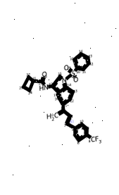 C=C(/C=C/c1ccc(C(F)(F)F)cc1)c1ccc2c(c1)c(NC(=O)C1CCC1)cn2S(=O)(=O)c1ccccc1